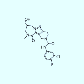 CN1CC(CO)Cn2nc3c(c2C1=O)CN(C(=O)Nc1ccc(F)c(Cl)c1)CC3